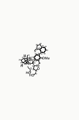 COc1c(CN2O[C@@H](CO)[C@H]([C@H](C)O)[C@H]2C(=O)N[C@H]2C[C@H]3C[C@@H]([C@@H]2C)C3(C)C)cccc1-c1cccc2c1N(C)CC2